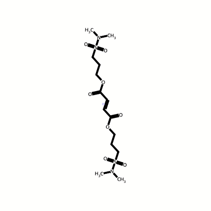 CN(C)S(=O)(=O)CCCOC(=O)/C=C/C(=O)OCCCS(=O)(=O)N(C)C